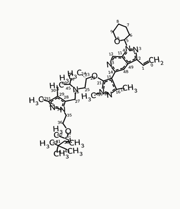 C=Cc1nn(C2CCCCO2)c2cnc(-c3c(C)nn(C)c3O[C@@H](C)CN(Cc3c(I)c(C)nn3CCO[Si](C)(C)C(C)(C)C)C(C)C)cc12